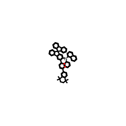 CC1(C)CCC(C)(C)c2cc(-c3ccc(-c4cc5c(cc4N(c4ccccc4)c4cccc6ccccc46)C4(c6ccccc6-c6ccccc64)c4ccccc4-5)cc3)ccc21